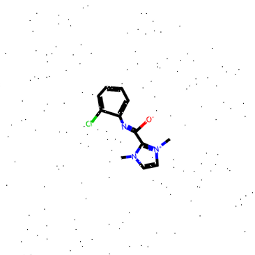 Cn1cc[n+](C)c1/C([O-])=N/c1ccccc1Cl